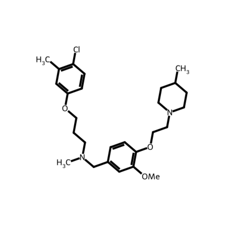 COc1cc(CN(C)CCCOc2ccc(Cl)c(C)c2)ccc1OCCN1CCC(C)CC1